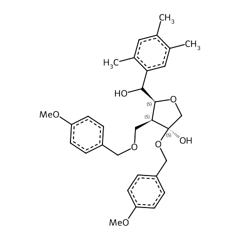 COc1ccc(COC[C@H]2[C@@H](C(O)c3cc(C)c(C)cc3C)OC[C@@]2(O)OCc2ccc(OC)cc2)cc1